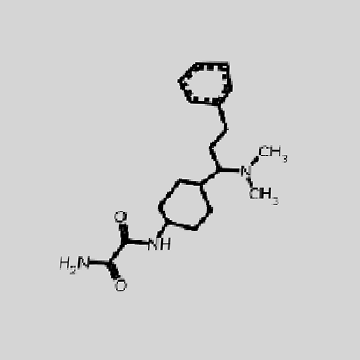 CN(C)C(CCc1ccccc1)C1CCC(NC(=O)C(N)=O)CC1